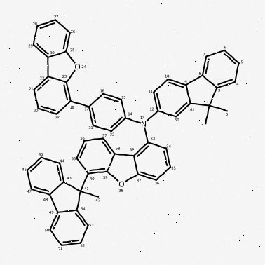 CC1(C)c2ccccc2-c2ccc(N(c3ccc(-c4cccc5c4oc4ccccc45)cc3)c3cccc4oc5c(C6(C)c7ccccc7-c7ccccc76)cccc5c34)cc21